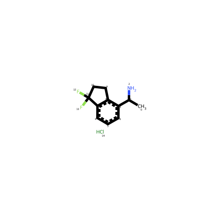 CC(N)c1cccc2c1CCC2(F)F.Cl